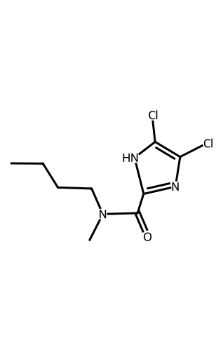 CCCCN(C)C(=O)c1nc(Cl)c(Cl)[nH]1